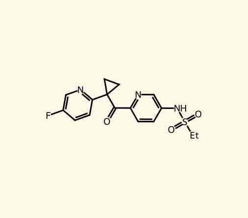 CCS(=O)(=O)Nc1ccc(C(=O)C2(c3ccc(F)cn3)CC2)nc1